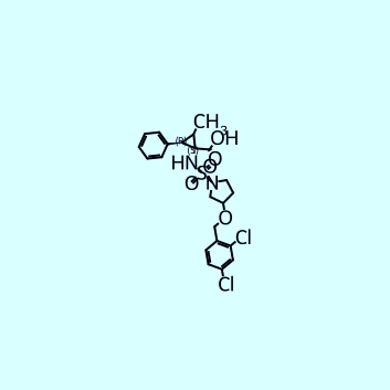 CC1[C@H](c2ccccc2)[C@]1(NS(=O)(=O)N1CCC(OCc2ccc(Cl)cc2Cl)C1)C(=O)O